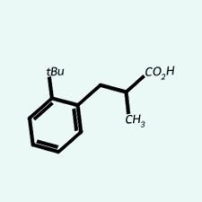 CC(Cc1ccccc1C(C)(C)C)C(=O)O